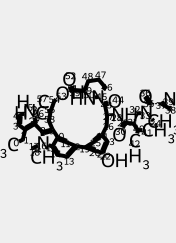 CCc1ccncc1-c1c2c3cc(ccc3n1CC)-c1cc(O)cc(c1)C[C@H](NC(=O)[C@@H](CN(C)C(=O)[C@H]1CN1)C(C)C)C(=O)N1CCC[C@H](N1)C(=O)OCC(C)(C)C2